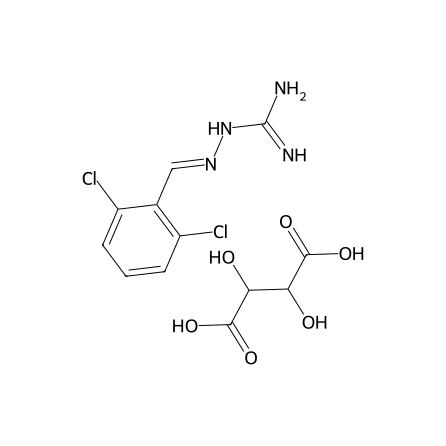 N=C(N)NN=Cc1c(Cl)cccc1Cl.O=C(O)C(O)C(O)C(=O)O